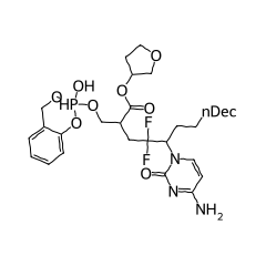 CCCCCCCCCCCCC(n1ccc(N)nc1=O)C(F)(F)CC(CO[PH]1(O)OCc2ccccc2O1)C(=O)OC1CCOC1